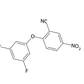 N#Cc1cc([N+](=O)[O-])ccc1Oc1cc(F)cc(F)c1